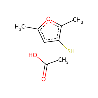 CC(=O)O.Cc1cc(S)c(C)o1